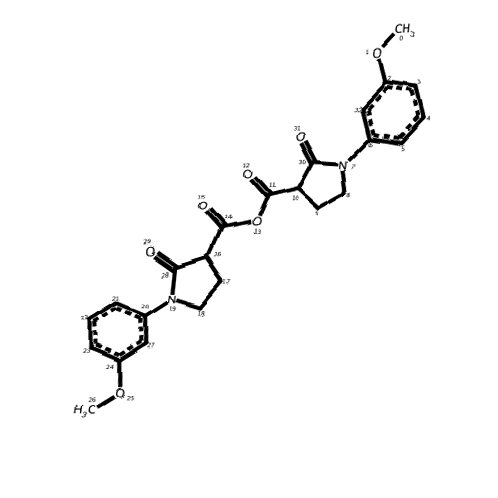 COc1cccc(N2CCC(C(=O)OC(=O)C3CCN(c4cccc(OC)c4)C3=O)C2=O)c1